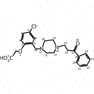 O=C(O)COc1ccc(Cl)cc1CN1CCN(CCC(=O)c2ccccc2)CC1